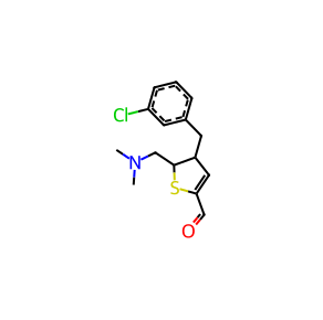 CN(C)CC1SC(C=O)=CC1Cc1cccc(Cl)c1